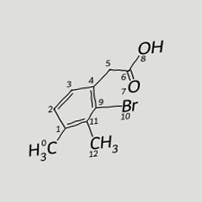 Cc1ccc(CC(=O)O)c(Br)c1C